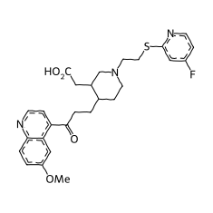 COc1ccc2nccc(C(=O)CCC3CCN(CCSc4cc(F)ccn4)CC3CC(=O)O)c2c1